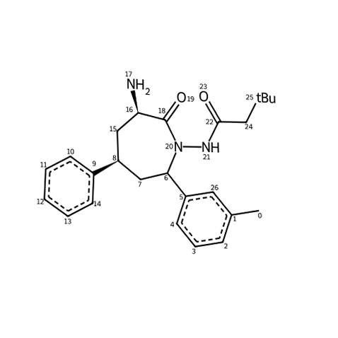 Cc1cccc(C2C[C@@H](c3ccccc3)C[C@@H](N)C(=O)N2NC(=O)CC(C)(C)C)c1